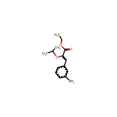 Bc1cccc(/C=C(\OC(C)C)C(=O)OCC)c1